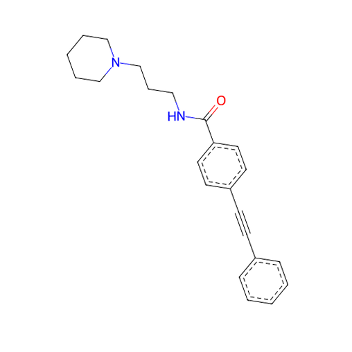 O=C(NCCCN1CCCCC1)c1ccc(C#Cc2ccccc2)cc1